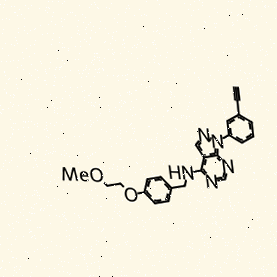 C#Cc1cccc(-n2ncc3c(NCc4ccc(OCCOC)cc4)ncnc32)c1